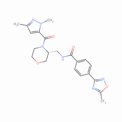 Cc1cc(C(=O)N2CCOC[C@H]2CNC(=O)c2ccc(-c3noc(C(F)(F)F)n3)cc2)n(C)n1